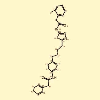 Cc1ccccc1CC(=O)Nc1nnc(CCCCc2ccc(NC(=O)CC3=CCCC=C3)nn2)s1